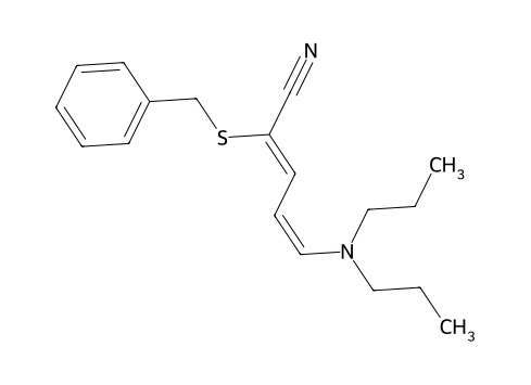 CCCN(/C=C\C=C(\C#N)SCc1ccccc1)CCC